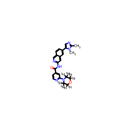 [2H]C1([2H])OC([2H])([2H])C([2H])([2H])N(c2cc(C(=O)Nc3cc4cc(-c5cnc(C)n5C)ccc4cn3)ccn2)C1([2H])[2H]